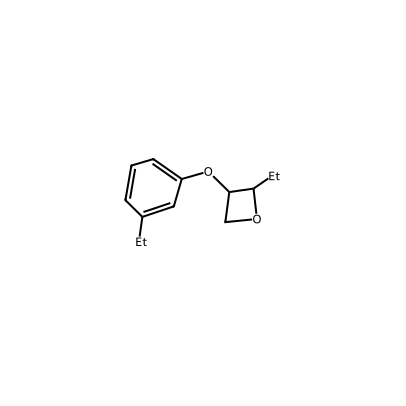 CCc1cccc(OC2COC2CC)c1